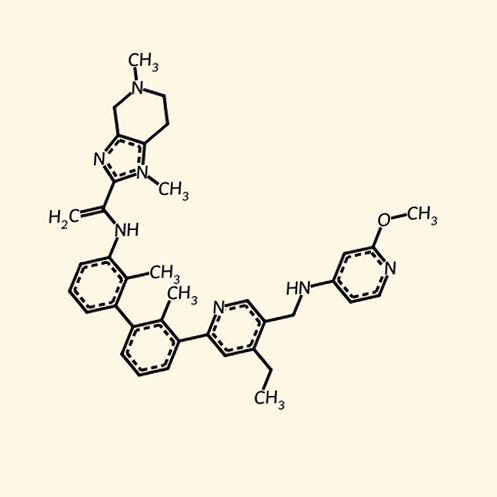 C=C(Nc1cccc(-c2cccc(-c3cc(CC)c(CNc4ccnc(OC)c4)cn3)c2C)c1C)c1nc2c(n1C)CCN(C)C2